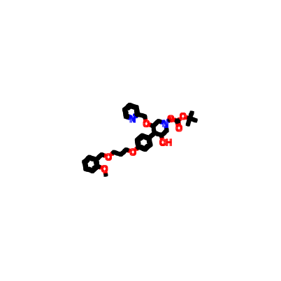 COc1ccccc1COCCCOc1ccc(C2C(O)CN(OC(=O)OC(C)(C)C)CC2OCc2ccccn2)cc1